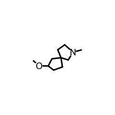 COC1CCC2(CCN(C)C2)C1